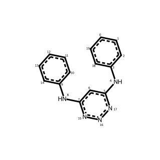 c1ccc(Nc2cc(Nc3ccccc3)nnn2)cc1